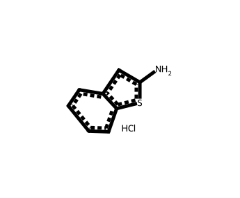 Cl.Nc1cc2ccccc2s1